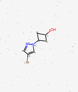 OC1CC(n2cc(Br)cn2)C1